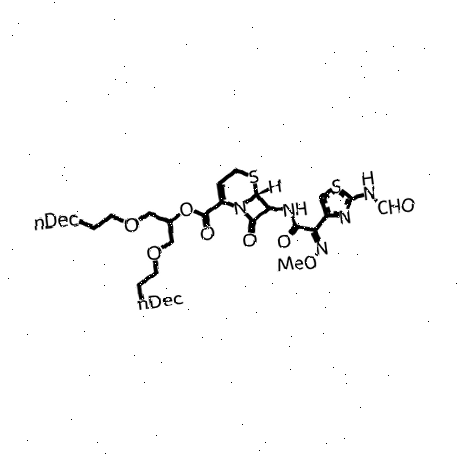 CCCCCCCCCCCCOCC(COCCCCCCCCCCCC)OC(=O)C1=CCS[C@@H]2C(NC(=O)/C(=N\OC)c3csc(NC=O)n3)C(=O)N12